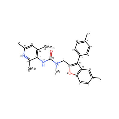 CCCN(Cc1oc2ccc(C)cc2c1-c1ccc(C)cc1)C(=O)Nc1c(SC)cc(C)nc1SC